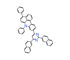 c1ccc(-c2ccc3c4c(cccc24)-c2ccc(-c4cc(-c5ccc6ccccc6c5)nc(-c5ccc6ccccc6c5)n4)cc2N3c2ccccc2)cc1